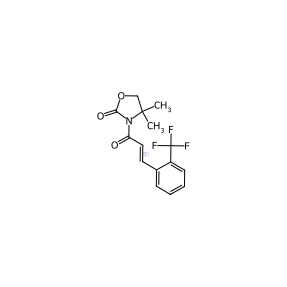 CC1(C)COC(=O)N1C(=O)/C=C/c1ccccc1C(F)(F)F